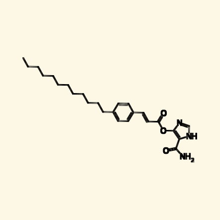 CCCCCCCCCCCCc1ccc(C=CC(=O)Oc2nc[nH]c2C(N)=O)cc1